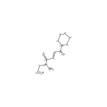 NN(CC(=O)O)C(=O)/C=C/C(=O)N1CCCCC1